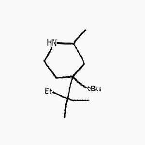 CCC(C)(C)C1(C(C)(C)C)CCNC(C)C1